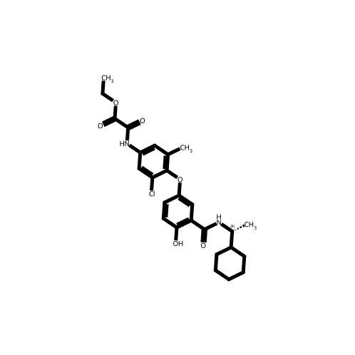 CCOC(=O)C(=O)Nc1cc(C)c(Oc2ccc(O)c(C(=O)N[C@H](C)C3CCCCC3)c2)c(Cl)c1